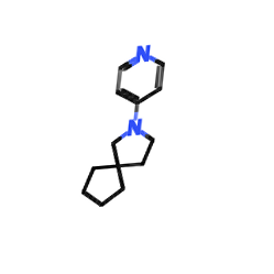 c1cc(N2CCC3(CCCC3)C2)ccn1